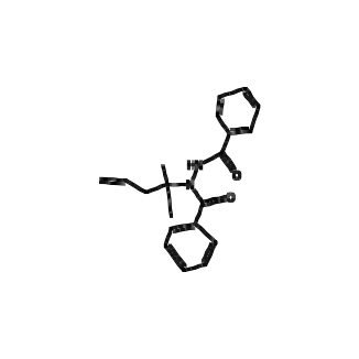 C=CCC(C)(C)N(NC(=O)c1ccccc1)C(=O)c1ccccc1